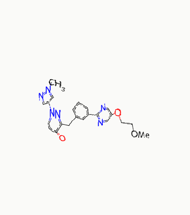 COCCOc1cnc(-c2cccc(Cc3nn(-c4cnn(C)c4)ccc3=O)c2)nc1